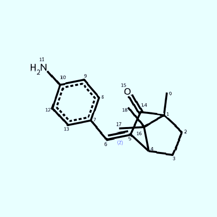 CC12CCC(/C(=C/c3ccc(N)cc3)C1=O)C2(C)C